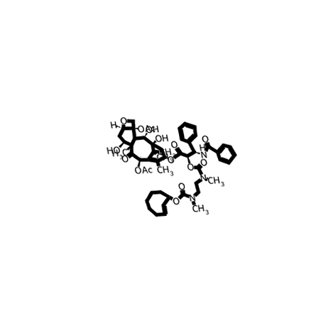 CC(=O)O[C@H]1C(=O)[C@@]2(C)C([C@H](O)[C@]3(O)C[C@H](OC(=O)[C@H](OC(=O)N(C)CCN(C)C(=O)OC4/C=C/CCCCC4)[C@@H](NC(=O)c4ccccc4)c4ccccc4)C(C)=C1C3(C)C)[C@]1(OC(C)=O)CO[C@@H]1C[C@@H]2O